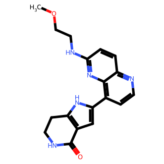 COCCNc1ccc2nccc(-c3cc4c([nH]3)CCNC4=O)c2n1